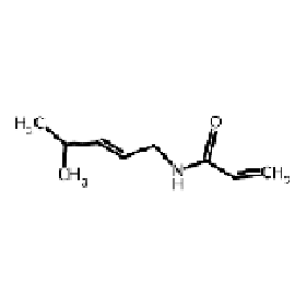 C=CC(=O)NCC=CC(C)C